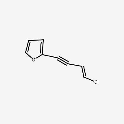 ClC=CC#Cc1ccco1